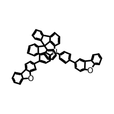 c1ccc2c(c1)-c1ccccc1C21c2ccccc2-c2cccc(N(c3ccc(-c4ccc5c(c4)oc4ccccc45)cc3)c3ccc(-c4ccc5oc6ccccc6c5c4)cc3)c21